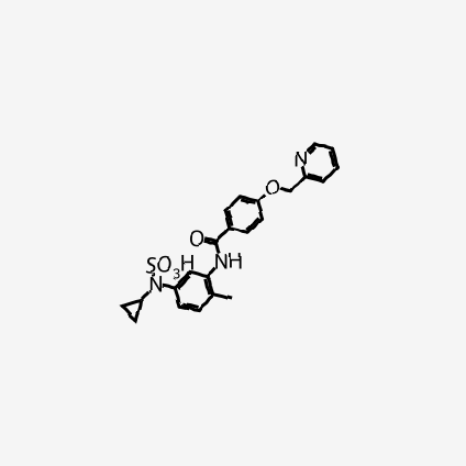 Cc1ccc(N(C2CC2)S(=O)(=O)O)cc1NC(=O)c1ccc(OCc2ccccn2)cc1